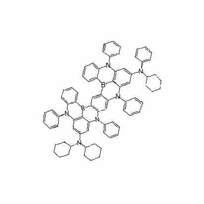 c1ccc(N2c3ccccc3B3c4cc5c(cc4N(c4ccccc4)c4cc(N(c6ccccc6)C6CCCCC6)cc2c43)N(c2ccccc2)c2cc(N(C3CCCCC3)C3CCCCC3)cc3c2B5c2ccccc2N3c2ccccc2)cc1